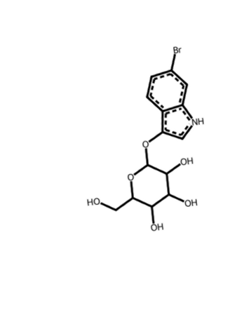 OCC1OC(Oc2c[nH]c3cc(Br)ccc23)C(O)C(O)C1O